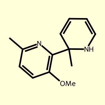 COc1ccc(C)nc1C1(C)C=CC=CN1